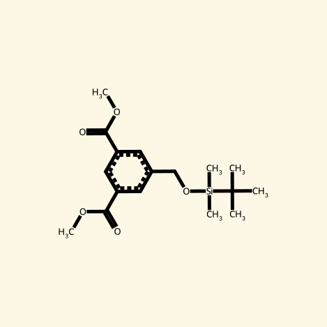 COC(=O)c1cc(CO[Si](C)(C)C(C)(C)C)cc(C(=O)OC)c1